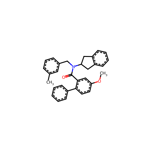 COc1ccc(-c2ccccc2)c(C(=O)N(Cc2cccc(C)c2)C2Cc3ccccc3C2)c1